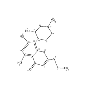 CCSc1cc(=O)c2c(O)cc(O)c([C@H]3CCN(C)C[C@H]3O)c2o1